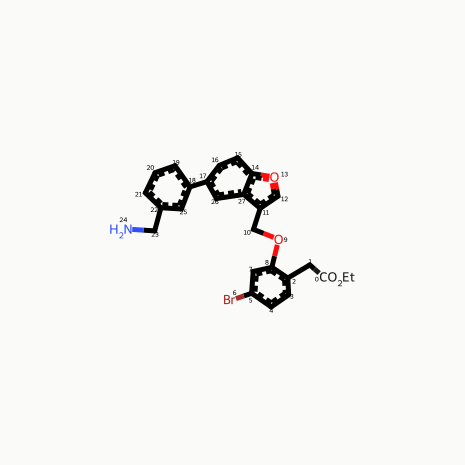 CCOC(=O)Cc1ccc(Br)cc1OCc1coc2ccc(-c3cccc(CN)c3)cc12